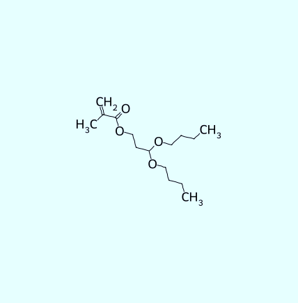 C=C(C)C(=O)OCCC(OCCCC)OCCCC